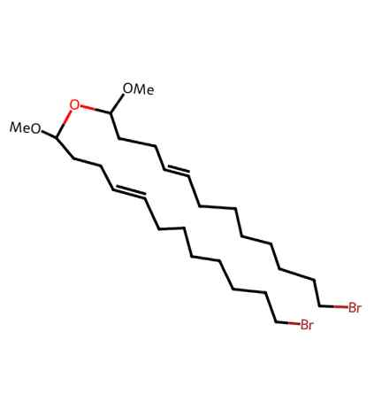 COC(CCC=CCCCCCCCBr)OC(CCC=CCCCCCCCBr)OC